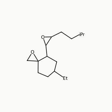 CCC1CCC2(CO2)C(C2OC2CCC(C)C)C1